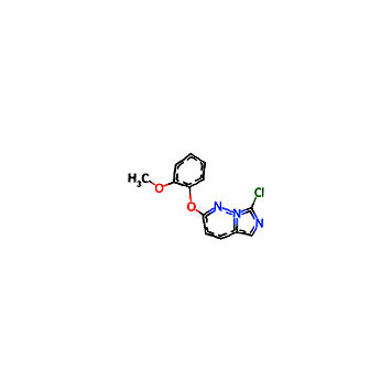 COc1ccccc1Oc1ccc2cnc(Cl)n2n1